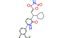 O=C1NC(=O)/C(=C/C(c2ccc(-c3ccc4cccc(F)c4c3)[nH]c2=O)C2CCCCC2)O1